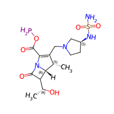 C[C@@H](O)C1C(=O)N2C(C(=O)OP)=C(CN3CC[C@H](NS(N)(=O)=O)C3)[C@H](C)[C@H]12